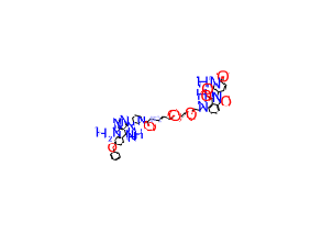 N=C(c1ccc(Oc2ccccc2)cc1)c1c(N)ncnc1NC1CCCN(C(=O)/C=C/CCOCCOCCNc2cccc3c2C(=O)N(C2CCC(=O)NC2=O)C3=O)C1